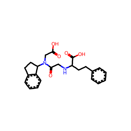 O=C(O)CN(C(=O)CNC(CCc1ccccc1)C(=O)O)C1CCc2ccccc21